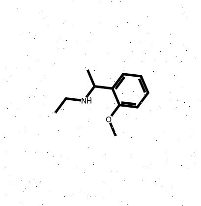 [CH2]CNC(C)c1ccccc1OC